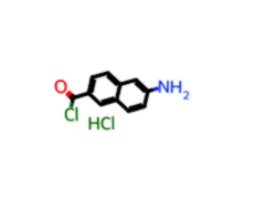 Cl.Nc1ccc2cc(C(=O)Cl)ccc2c1